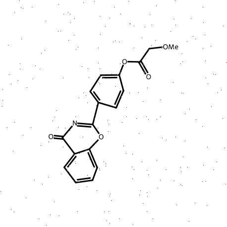 COCC(=O)Oc1ccc(-c2nc(=O)c3ccccc3o2)cc1